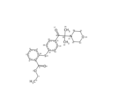 CCOC(=O)c1ccccc1Sc1ccc(C(=O)C(C)(C)N2CCOCC2)cc1